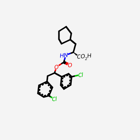 O=C(N[C@@H](CC1CCCCC1)C(=O)O)OC(Cc1cccc(Cl)c1)c1cccc(Cl)c1